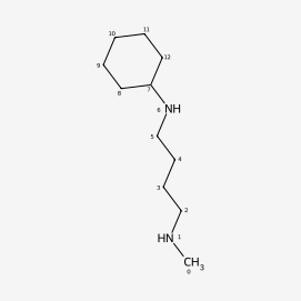 CNCCCCNC1CCCCC1